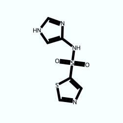 O=S(=O)(Nc1c[nH]cn1)c1cncs1